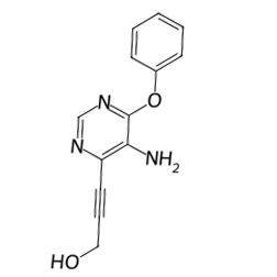 Nc1c(C#CCO)ncnc1Oc1ccccc1